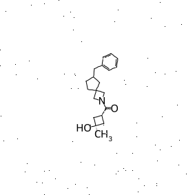 C[C@]1(O)C[C@@H](C(=O)N2CC3(CCC(Cc4ccccc4)C3)C2)C1